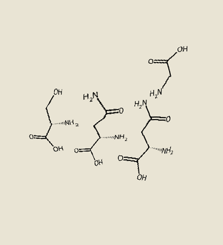 NC(=O)C[C@H](N)C(=O)O.NC(=O)C[C@H](N)C(=O)O.NCC(=O)O.N[C@@H](CO)C(=O)O